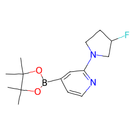 CC1(C)OB(c2ccnc(N3CCC(F)C3)c2)OC1(C)C